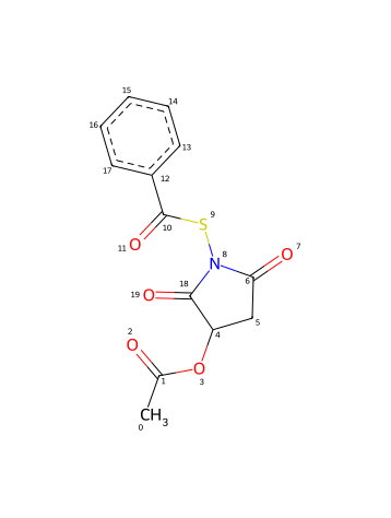 CC(=O)OC1CC(=O)N(SC(=O)c2ccccc2)C1=O